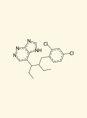 CCC(Cc1ccc(Cl)cc1Cl)C(CC)c1cnnc2nc[nH]c12